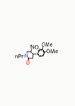 CCCN1CC([N+](=O)[O-])C(c2ccc(OC)c(OC)c2)CC1=O